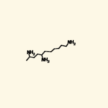 CC(N)CCC(N)CCCCCCN